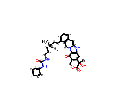 CCC1(O)C(=O)OCC2=C1CC1=C(C2=O)N2Cc3c(cccc3CC[Si](C)(C)CCCNC(=O)Nc3ccccc3)C=C2N1